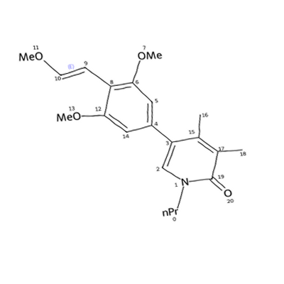 CCCn1cc(-c2cc(OC)c(/C=C/OC)c(OC)c2)c(C)c(C)c1=O